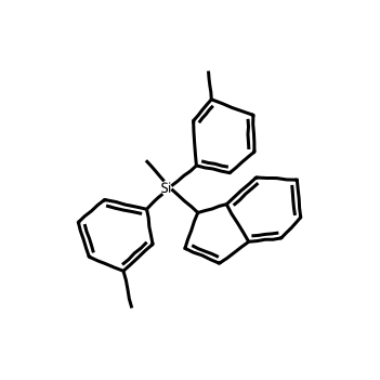 Cc1cccc([Si](C)(c2cccc(C)c2)C2C=Cc3ccccc32)c1